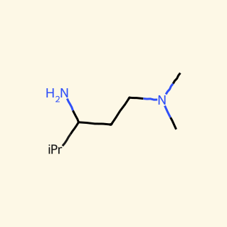 CC(C)C(N)CCN(C)C